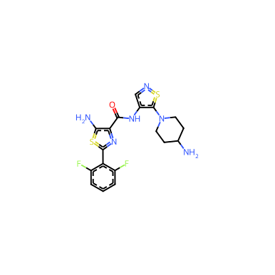 Nc1sc(-c2c(F)cccc2F)nc1C(=O)Nc1cnsc1N1CCC(N)CC1